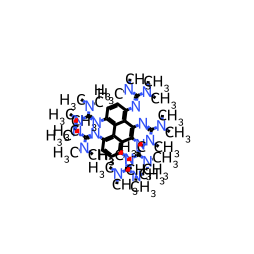 CN(C)C(=Nc1ccc(N=C(N(C)C)N(C)C)c2c1c(N=C(N(C)C)N(C)C)c(N=C(N(C)C)N(C)C)c1c(N=C(N(C)C)N(C)C)ccc(N=C(N(C)C)N(C)C)c12)N(C)C